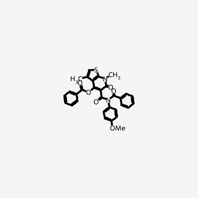 COc1ccc(N(C(=O)c2ccccc2)C(=O)c2c(OC(=O)c3ccccc3)c3c(C)csc3n(C)c2=O)cc1